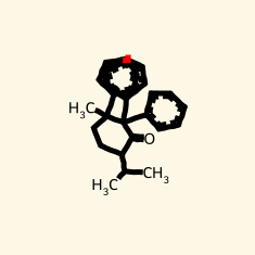 CC(C)C1CCC(C)(c2ccccc2)C(c2ccccc2)(c2ccccc2)C1=O